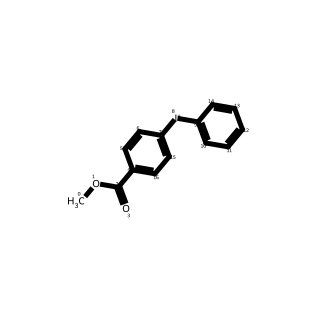 COC(=O)c1ccc([I+]c2ccccc2)cc1